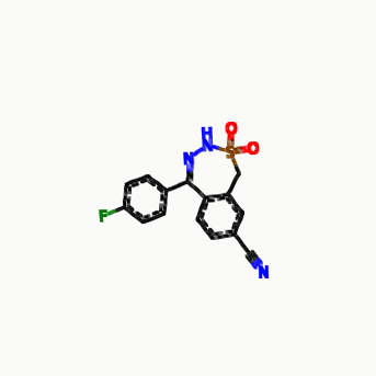 N#Cc1ccc2c(c1)CS(=O)(=O)NN=C2c1ccc(F)cc1